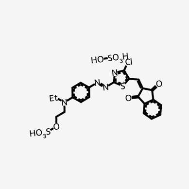 CCN(CCOS(=O)(=O)O)c1ccc(N=Nc2nc(Cl)c(C=C3C(=O)c4ccccc4C3=O)s2)cc1.O=S(=O)(O)O